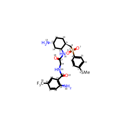 CSc1ccc(S(=O)(=O)C[C@@H]2CC[C@@H](N)C[C@@H]2NC(=O)CNC(=O)c2cc(C(F)(F)F)ccc2N)cc1